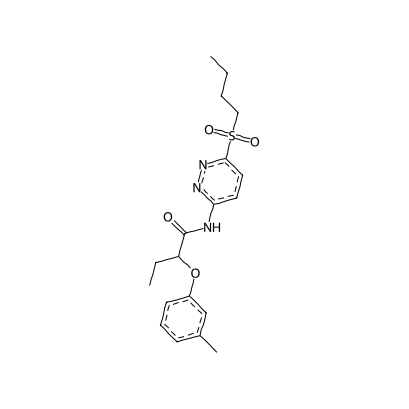 CCCCS(=O)(=O)c1ccc(NC(=O)C(CC)Oc2cccc(C)c2)nn1